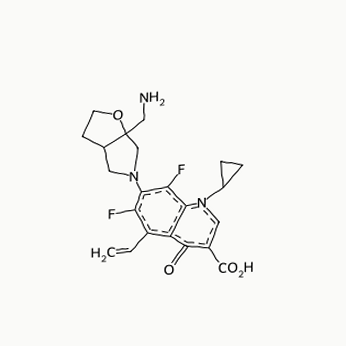 C=Cc1c(F)c(N2CC3CCOC3(CN)C2)c(F)c2c1c(=O)c(C(=O)O)cn2C1CC1